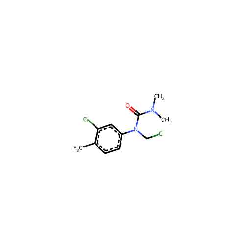 CN(C)C(=O)N(CCl)c1ccc(C(F)(F)F)c(Cl)c1